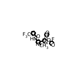 Cc1ncc(NC(=O)c2cccc(C(F)(F)F)c2)cc1-c1cnc(O[C@H]2CCOC[C@H]2F)c(N2CCOCC2)c1